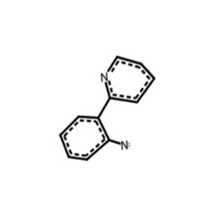 [N]c1ccccc1-c1ccccn1